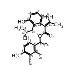 Cc1ccc(C(F)OC(=O)c2c(C)[nH]c3ccc(O)c(CN(C)C)c23)c(F)c1F